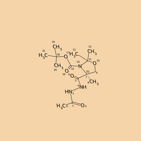 CC(=O)NNC(=O)[C@]1(C)COC(C)(C)N1C(=O)OC(C)(C)C